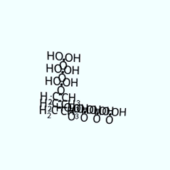 O=C(O)O.O=C(O)O.O=C(O)O.O=C(O)O.O=C(O)O.O=C(O)O.O=C(O)O.[CH2]CC.[CH2]CC.[CH2]CC